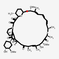 CO[C@H]1C[C@@H]2CC[C@@H](C)[C@@](O)(O2)C(=O)C(=O)N2CCCC3[C@H]2C(=O)O[C@@H](CC(=O)[C@H](C)/C=C(\C)[C@@H](O)[C@@H](OC)C(=O)[C@H](C)C[C@H](C)/C=C/C=C/C=C/1C)[C@H]3C[C@@H]1CC[C@@H](O)[C@H](OC)C1